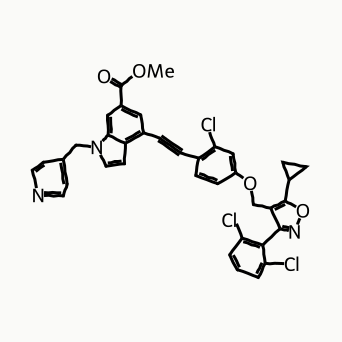 COC(=O)c1cc(C#Cc2ccc(OCc3c(-c4c(Cl)cccc4Cl)noc3C3CC3)cc2Cl)c2ccn(Cc3ccncc3)c2c1